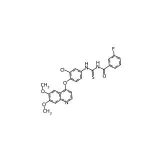 COc1cc2nccc(Oc3ccc(NC(=S)NC(=O)c4cccc(F)c4)cc3Cl)c2cc1OC